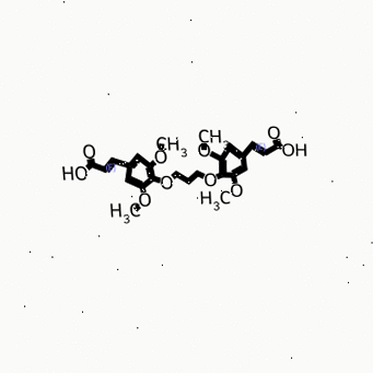 COc1cc(/C=C/C(=O)O)cc(OC)c1OCCCOc1c(OC)cc(/C=C/C(=O)O)cc1OC